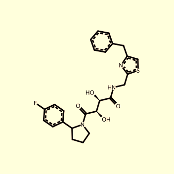 O=C(NCc1nc(Cc2ccccc2)cs1)[C@H](O)[C@@H](O)C(=O)N1CCCC1c1ccc(F)cc1